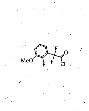 COc1cccc(C(F)(F)C(=O)Cl)c1F